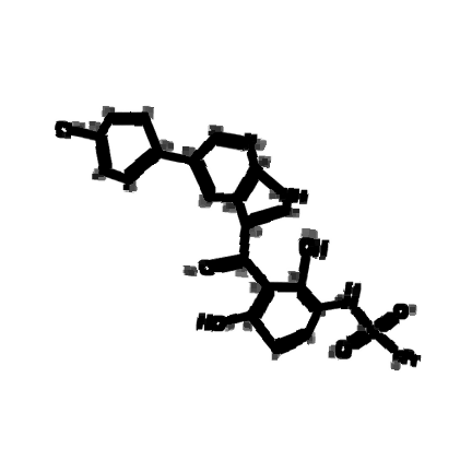 CCCS(=O)(=O)Nc1ccc(O)c(C(=O)c2c[nH]c3ncc(-c4ccc(Cl)cc4)cc23)c1O